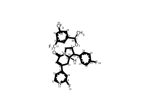 C[C@@H](O[C@H]1CN2C(=O)C=C(c3ccnc(F)c3)C[C@H]2C1c1ccc(F)cc1)c1cc(C(F)(F)F)cc(C(F)(F)F)c1